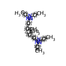 Cc1ccc(-c2nc(-c3ccc(C)cc3)nc(-c3ccc(-c4ccc5c(c4)C(C)(C)c4cc(-c6ccc(-c7nc(-c8ccc(C)cc8)nc(-c8ccc(C)cc8)n7)cc6)ccc4C5)cc3)n2)cc1